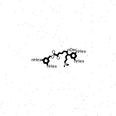 CCCCCCCCCCC(CCCC(=O)C(=O)OCc1cc(CCCCCC)cc(CCCCCC)c1)C(CCCN(C)C)c1cc(CCCCCC)cc(CCCCCC)c1